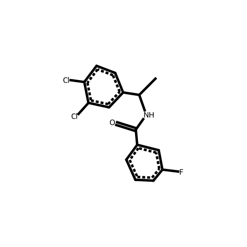 CC(NC(=O)c1cccc(F)c1)c1ccc(Cl)c(Cl)c1